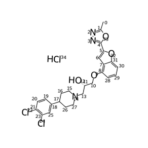 Cc1nnc(-c2cc3c(OC[C@@H](O)CN4CCC(c5ccc(Cl)c(Cl)c5)CC4)cccc3o2)o1.Cl